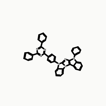 c1ccc(-c2nc(-c3ccccc3)nc(-c3ccc(-n4c5ccccc5n5c6c7ccccc7n(-c7ccccc7)c6nc45)cc3)n2)cc1